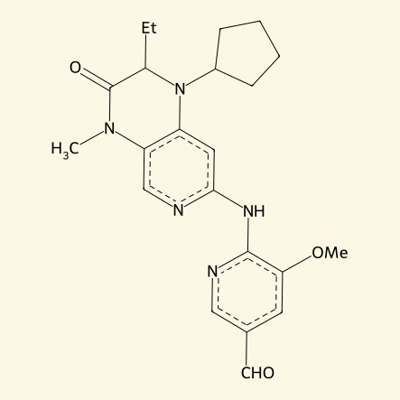 CCC1C(=O)N(C)c2cnc(Nc3ncc(C=O)cc3OC)cc2N1C1CCCC1